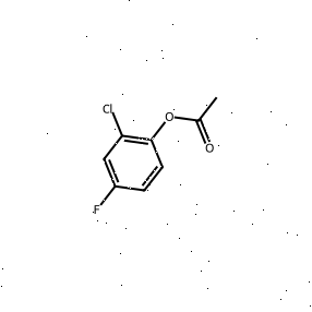 CC(=O)Oc1c[c]c(F)cc1Cl